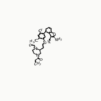 C=CC(=O)N1CCN(C=O)C(CCOc2cc(-c3cccc4oc(N)c(C#N)c34)c(Cl)cc2C)C1